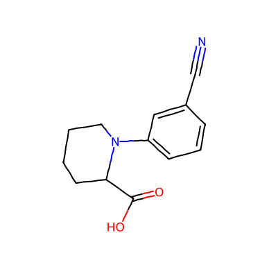 N#Cc1cccc(N2CCCCC2C(=O)O)c1